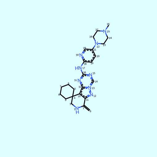 C=C1NCC2(CCCCC2)c2c1nn1cnc(Nc3ccc(N4CCN(C)CC4)cn3)nc21